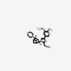 CC(C)(C)Cc1nc(-c2cnc(N)c(OC(F)(F)F)c2)cn1[C@H]1C[C@@H](N2CCOCC2)C2CC1C2